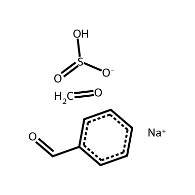 C=O.O=Cc1ccccc1.O=S([O-])O.[Na+]